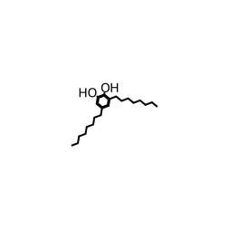 CCCCCCCCc1cc(O)c(O)c(CCCCCCCC)c1